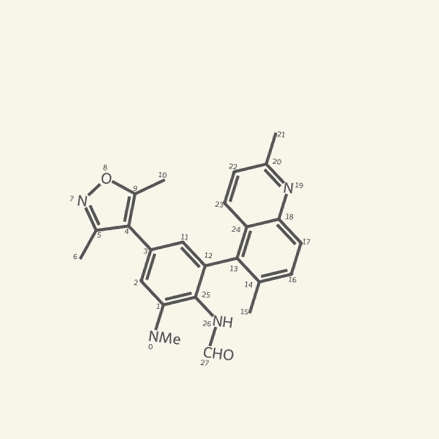 CNc1cc(-c2c(C)noc2C)cc(-c2c(C)ccc3nc(C)ccc23)c1NC=O